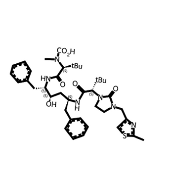 Cc1nc(CN2CCN([C@H](C(=O)N[C@@H](Cc3ccccc3)C[C@H](O)[C@H](Cc3ccccc3)NC(=O)[C@@H](N(C)C(=O)O)C(C)(C)C)C(C)(C)C)C2=O)cs1